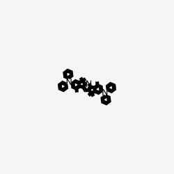 Cc1cc(N(c2ccccc2)c2ccccc2)cc2c1-c1cc3c(nc1C2(C)C)-c1c(C)cc(N(c2ccccc2)c2ccccc2)cc1C3(C)C